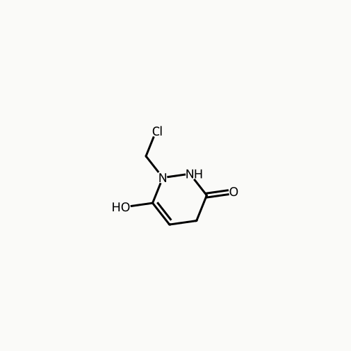 O=C1CC=C(O)N(CCl)N1